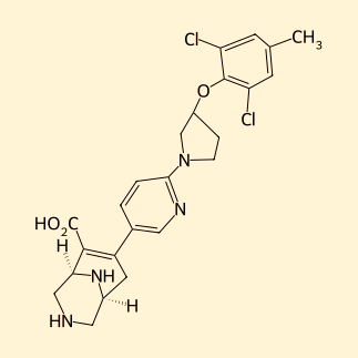 Cc1cc(Cl)c(OC2CCN(c3ccc(C4=C(C(=O)O)[C@@H]5CNC[C@H](C4)N5)cn3)C2)c(Cl)c1